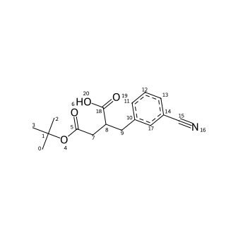 CC(C)(C)OC(=O)CC(Cc1cccc(C#N)c1)C(=O)O